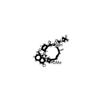 CO[C@H]1/C=C/C[C@H](C)C[S@@](=O)(NC(=O)N2CC(F)(F)C2)=NC(=O)c2ccc3c(c2)N(C[C@@H]2CC[C@H]21)C[C@@]1(CCCc2cc(Cl)ccc21)CO3